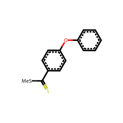 CSC(=S)c1ccc(Oc2ccccc2)cc1